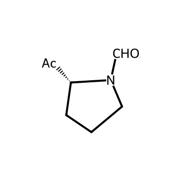 CC(=O)[C@H]1CCCN1C=O